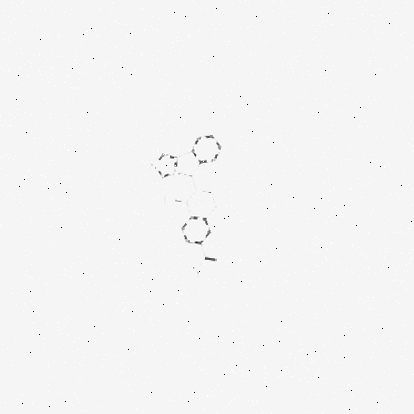 CNC(=O)c1ccc2c(c1)CC[C@H]([C@@H]1c3ccccc3-c3cncn31)[C@@H]2O